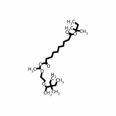 CCC(C)(C)OC(=O)CCCCCCCCC(=O)OC(C)OCCOC(C)C(C)(CC)CC